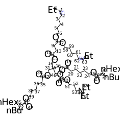 CC/C=C\CCCCOC(CCC(=O)OCC(COC(=O)CCCCCOC(=O)C(CCCC)CCCCCC)(COC(=O)CCCCCOC(=O)C(CCCC)CCCCCC)COC(=O)OCCCN(CC)CC)OCCCC/C=C\CC